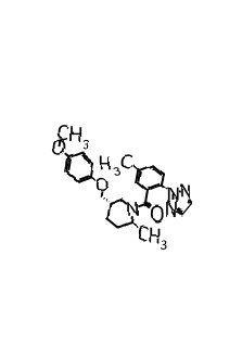 COc1ccc(OC[C@H]2CC[C@H](C)N(C(=O)c3cc(C)ccc3-n3nccn3)C2)cc1